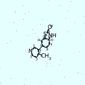 Cc1ccncc1-c1ccc2[nH]c(=O)sc2c1